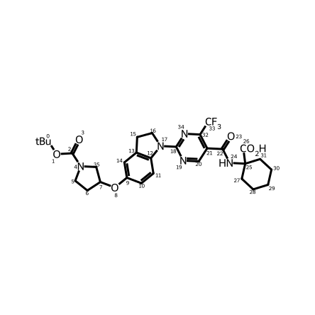 CC(C)(C)OC(=O)N1CCC(Oc2ccc3c(c2)CCN3c2ncc(C(=O)NC3(C(=O)O)CCCCC3)c(C(F)(F)F)n2)C1